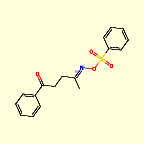 C/C(CCC(=O)c1ccccc1)=N\OS(=O)(=O)c1ccccc1